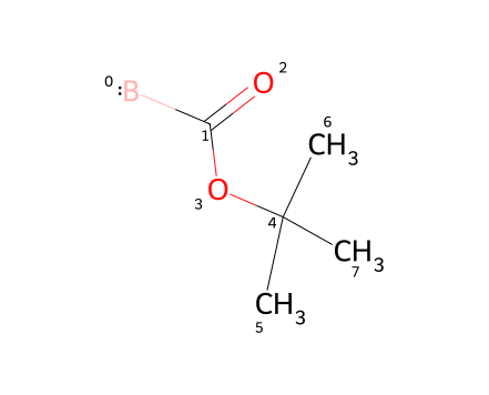 [B]C(=O)OC(C)(C)C